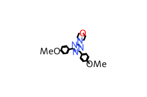 COc1ccc(-c2nc(-c3ccc(OC)cc3)nc(N3CCOCC3)n2)cc1